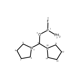 FP(P)OC(N1CCCC1)N1CCCC1